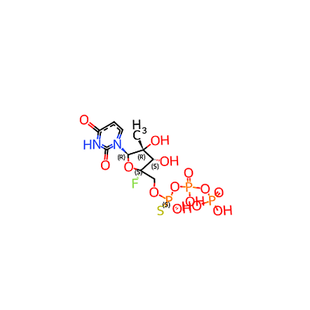 C[C@]1(O)[C@H](n2ccc(=O)[nH]c2=O)O[C@](F)(CO[P@](O)(=S)OP(=O)(O)OP(=O)(O)O)[C@H]1O